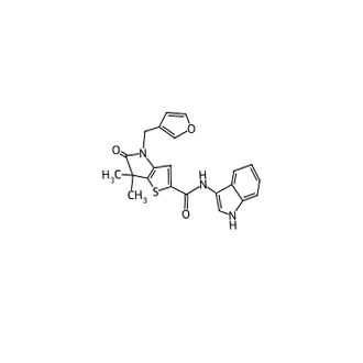 CC1(C)C(=O)N(Cc2ccoc2)c2cc(C(=O)Nc3c[nH]c4ccccc34)sc21